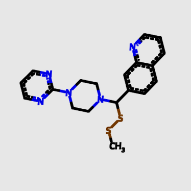 CSSC(c1ccc2cccnc2c1)N1CCN(c2ncccn2)CC1